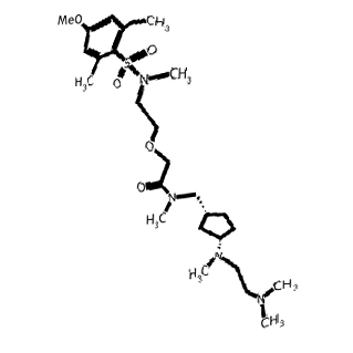 COc1cc(C)c(S(=O)(=O)N(C)CCOCC(=O)N(C)C[C@@H]2CC[C@H](N(C)CCN(C)C)C2)c(C)c1